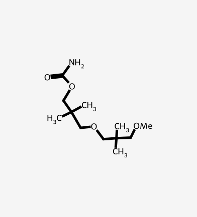 COCC(C)(C)COCC(C)(C)COC(N)=O